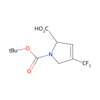 CC(C)(C)OC(=O)N1CC(C(F)(F)F)=CC1C(=O)O